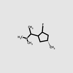 CC(C1C[C@@H](C)CC1F)N(C)C